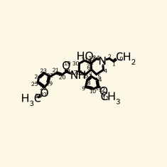 C=CCN1CC[C@@]2(c3cccc(OC)c3)C[C@H](NC(=O)C=Cc3cccc(OC)c3)CC[C@]2(O)C1